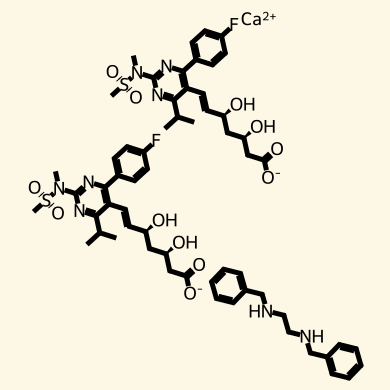 CC(C)c1nc(N(C)S(C)(=O)=O)nc(-c2ccc(F)cc2)c1C=C[C@@H](O)C[C@@H](O)CC(=O)[O-].CC(C)c1nc(N(C)S(C)(=O)=O)nc(-c2ccc(F)cc2)c1C=C[C@@H](O)C[C@@H](O)CC(=O)[O-].[Ca+2].c1ccc(CNCCNCc2ccccc2)cc1